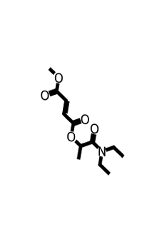 CCN(CC)C(=O)C(C)OC(=O)/C=C/C(=O)OC